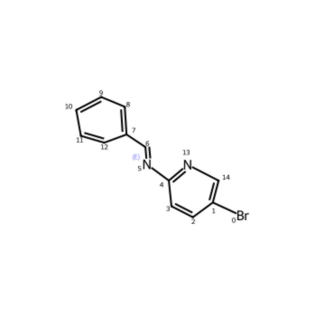 Brc1ccc(/N=C/c2ccccc2)nc1